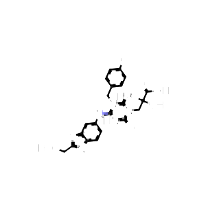 CCc1nc2ccc(/N=c3\[nH]c(=O)n(CC(C)(C)C(=O)O)c(=O)n3Cc3ccc(C)cc3)cc2s1